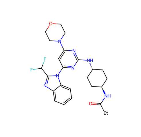 CCC(=O)N[C@H]1CC[C@H](Nc2nc(N3CCOCC3)cc(-n3c(C(F)F)nc4ccccc43)n2)CC1